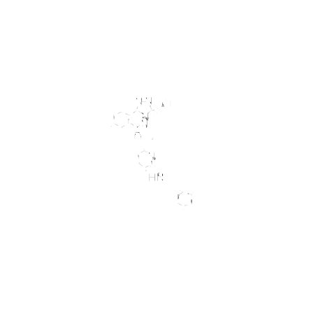 CSc1nnc2c3ccccc3c(OCc3cccc(CNCCc4ccccc4)n3)nn12